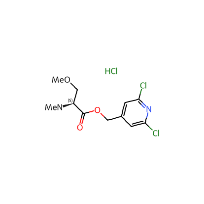 CN[C@@H](COC)C(=O)OCc1cc(Cl)nc(Cl)c1.Cl